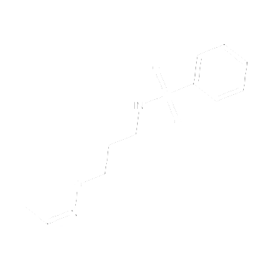 C/C=N\OCCCNS(=O)(=O)c1ccccc1